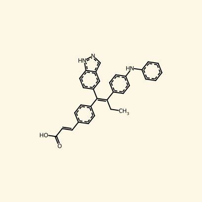 CCC(=C(c1ccc(C=CC(=O)O)cc1)c1ccc2[nH]ncc2c1)c1ccc(Nc2ccccc2)cc1